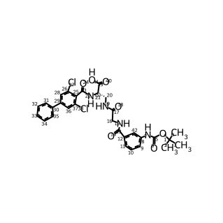 CC(C)(C)OC(=O)Nc1cccc(C(=O)NCC(=O)NC[C@H](NC(=O)c2c(Cl)cc(-c3ccccc3)cc2Cl)C(=O)O)c1